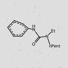 CCCCCN(CC)C(=O)Nc1ccccc1